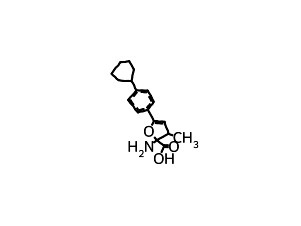 CC1C=C(c2ccc(C3CCCCC3)cc2)OC1(N)C(=O)O